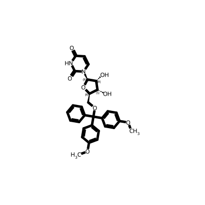 COc1ccc(C(OC[C@H]2O[C@@H](n3ccc(=O)[nH]c3=O)[C@H](O)[C@@H]2O)(c2ccccc2)c2ccc(OC)cc2)cc1